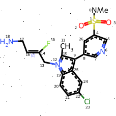 CNS(=O)(=O)c1cncc(-c2c(C)n(C/C(F)=C/CN)c3ccc(Cl)cc23)c1